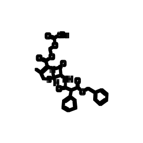 CC1=C(C(=O)OCOC(=O)C(C)(C)C)N2C(=O)C(NC(=O)C(C(=O)OCc3ccccc3)c3ccccc3)[C@@H]2SC1